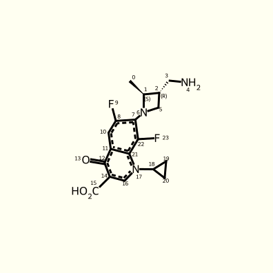 C[C@H]1[C@H](CN)CN1c1c(F)cc2c(=O)c(C(=O)O)cn(C3CC3)c2c1F